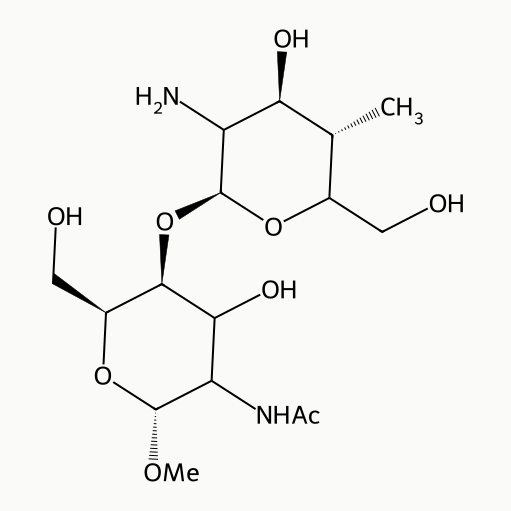 CO[C@@H]1O[C@@H](CO)[C@@H](O[C@@H]2OC(CO)[C@@H](C)[C@H](O)C2N)C(O)C1NC(C)=O